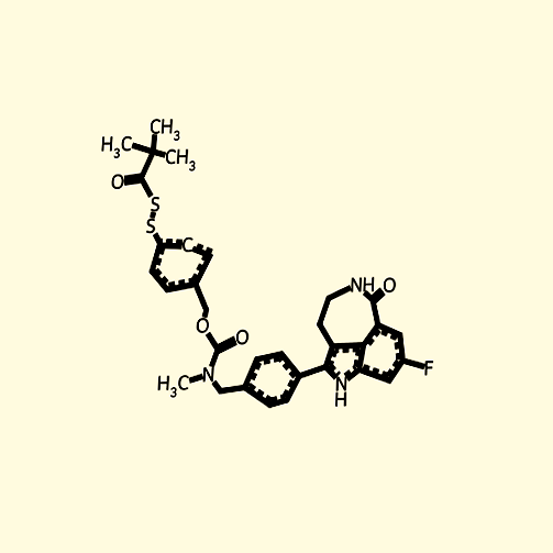 CN(Cc1ccc(-c2[nH]c3cc(F)cc4c3c2CCNC4=O)cc1)C(=O)OCc1ccc(SSC(=O)C(C)(C)C)cc1